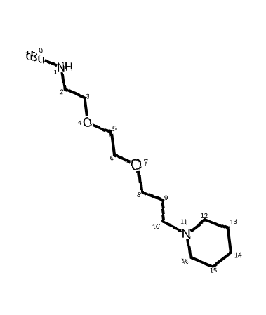 CC(C)(C)NCCOCCOCCCN1CCCCC1